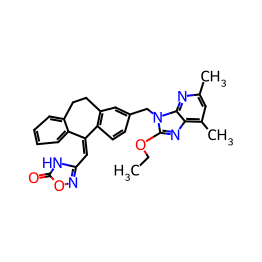 CCOc1nc2c(C)cc(C)nc2n1Cc1ccc2c(c1)CCc1ccccc1C2=Cc1noc(=O)[nH]1